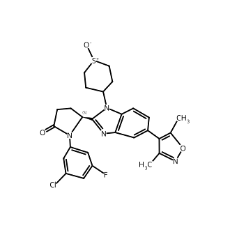 Cc1noc(C)c1-c1ccc2c(c1)nc([C@@H]1CCC(=O)N1c1cc(F)cc(Cl)c1)n2C1CC[S+]([O-])CC1